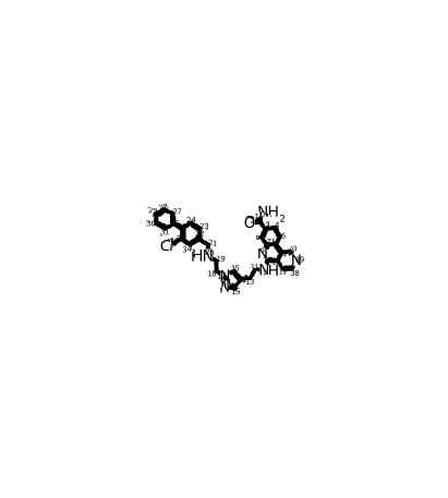 NC(=O)c1ccc2c(c1)nc(NCCc1cnn(CCNCc3ccc(-c4ccccc4)c(Cl)c3)c1)c1ccncc12